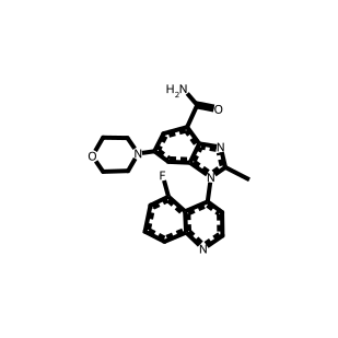 Cc1nc2c(C(N)=O)cc(N3CCOCC3)cc2n1-c1ccnc2cccc(F)c12